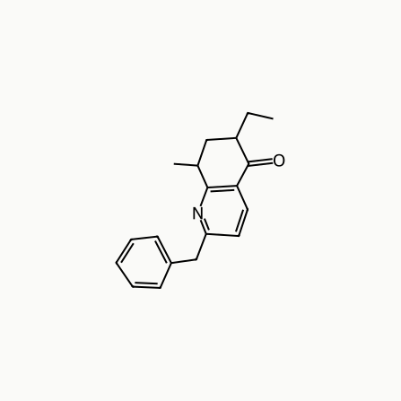 CCC1CC(C)c2nc(Cc3ccccc3)ccc2C1=O